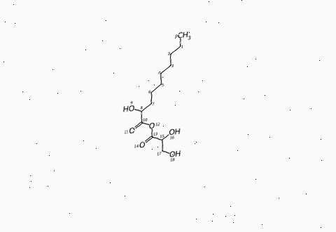 CCCCCCCCC(O)C(=O)OC(=O)C(O)CO